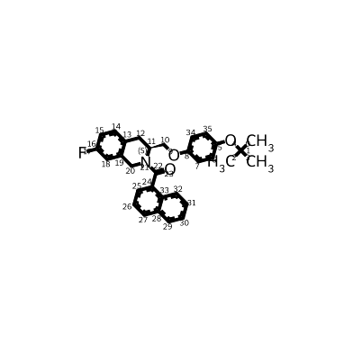 CC(C)(C)Oc1ccc(OC[C@@H]2Cc3ccc(F)cc3CN2C(=O)c2cccc3ccccc23)cc1